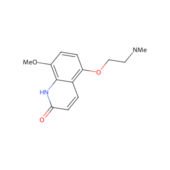 CNCCOc1ccc(OC)c2[nH]c(=O)ccc12